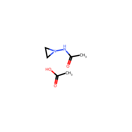 CC(=O)NN1CC1.CC(=O)O